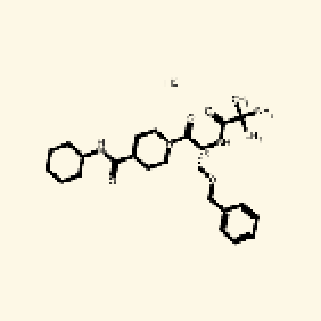 CC(C)(N)C(=O)N[C@H](COCc1ccccc1)C(=O)N1CCC(C(=O)NC2CCCCC2)CC1.Cl